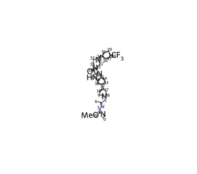 C=N/C(=C\C=C(/C)CN1CC=C(c2ccc3nc(C(=O)N4CCN(Cc5ccc(C(F)(F)F)cc5)CC4)[nH]c3c2)CC1)OC